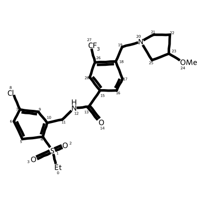 CCS(=O)(=O)c1ccc(Cl)cc1CNC(=O)c1ccc(CN2CCC(OC)C2)c(C(F)(F)F)c1